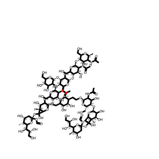 CC(=O)NC1C(O)[C@H](O[C@@H]2OC3CC(O)(O[C@]4(OC=O)C[C@@H](O)[C@@H](C)C([C@H](O)[C@H](O)CO)O4)[C@@H]3[C@H](O)C2O)[C@H](CO)O[C@H]1OCCC1[C@@H](OCC2O[C@@H](O[C@@H]3C(CO)O[C@@H](O[C@@H]4C(CO)O[C@@H](C)C(NC(C)=O)[C@H]4O)C(NC(C)=O)[C@H]3O)C(O)[C@@H](O[C@H]3OC(CO)[C@@H](O)C(O)C3O[C@@H]3OC(CO)[C@@H](O[C@@H]4OC5[C@@H]([C@H](O)C4O)C5(O)O[C@]4(OC=O)C[C@@H](O)[C@@H](C)C([C@H](O)[C@H](O)CO)O4)[C@H](O)C3NC(C)=O)[C@@H]2O)OC(CO)[C@@H](O)[C@@H]1O